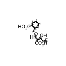 O=C(O)c1ccccc1CON[C@H](C(=O)O)[C@H](O)CF